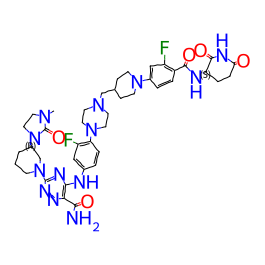 CN1CCN([C@@H]2CCCN(c3nnc(C(N)=O)c(Nc4ccc(N5CCN(CC6CCN(c7ccc(C(=O)N[C@H]8CCC(=O)NC8=O)c(F)c7)CC6)CC5)c(F)c4)n3)C2)C1=O